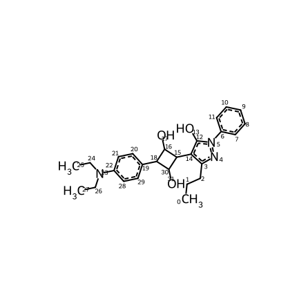 CCCc1nn(-c2ccccc2)c(O)c1C1C(O)C(c2ccc(N(CC)CC)cc2)C1O